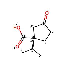 CC(C)[C@]1(C(=O)O)CCC(=O)C1